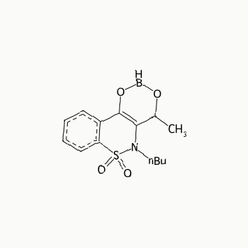 CCCCN1C2=C(OBOC2C)c2ccccc2S1(=O)=O